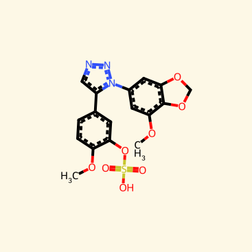 COc1ccc(-c2cnnn2-c2cc(OC)c3c(c2)OCO3)cc1OS(=O)(=O)O